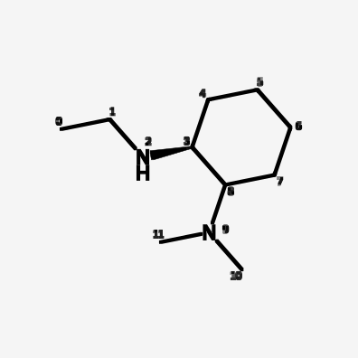 CCN[C@H]1CCCCC1N(C)C